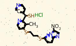 Cc1c(SCCCSc2ccc3ncc([N+](=O)[O-])n3n2)ccnc1C(S)c1ccncc1.Cl